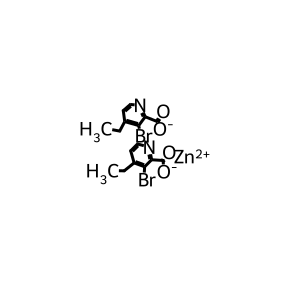 CCc1ccnc(C(=O)[O-])c1Br.CCc1ccnc(C(=O)[O-])c1Br.[Zn+2]